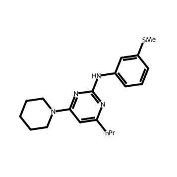 CCCc1cc(N2CCCCC2)nc(Nc2cccc(SC)c2)n1